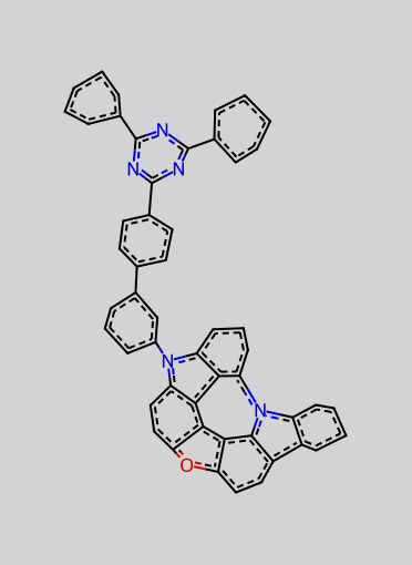 c1ccc(-c2nc(-c3ccccc3)nc(-c3ccc(-c4cccc(-n5c6ccc7oc8ccc9c%10ccccc%10n%10c%11cccc5c%11c6c7c8c9%10)c4)cc3)n2)cc1